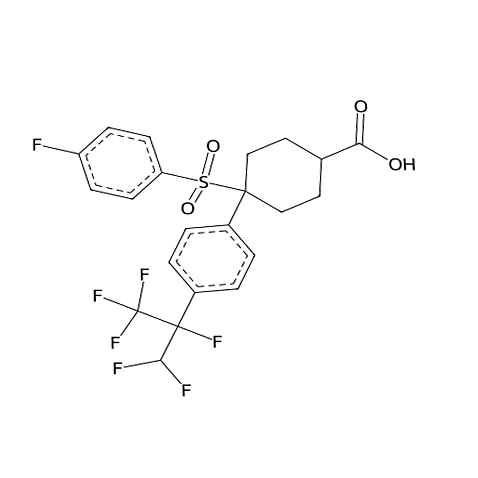 O=C(O)C1CCC(c2ccc(C(F)(C(F)F)C(F)(F)F)cc2)(S(=O)(=O)c2ccc(F)cc2)CC1